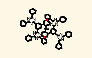 CC(C)(c1ccccc1-c1cc(-c2nc(-c3ccccc3)nc(-c3ccccc3)n2)cc(-c2nc(-c3ccccc3)nc(-c3ccccc3)n2)c1)c1ccccc1-c1cc(-c2nc(-c3ccccc3)nc(-c3ccccc3)n2)cc(-c2nc(-c3ccccc3)nc(-c3ccccc3)n2)c1